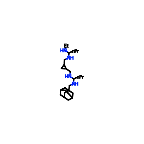 CCCC(NCC)NCC1CC1CNC(CCC)NCC12CC3CC(CC(C3)C1)C2